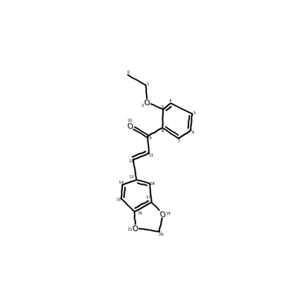 CCOc1ccccc1C(=O)C=Cc1ccc2c(c1)OCO2